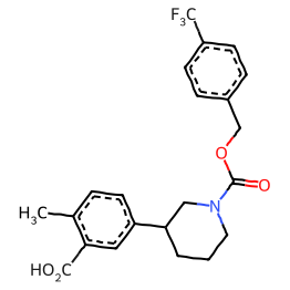 Cc1ccc(C2CCCN(C(=O)OCc3ccc(C(F)(F)F)cc3)C2)cc1C(=O)O